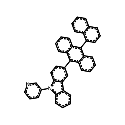 c1cncc(-n2c3ccccc3c3cc(-c4c5ccccc5c(-c5cccc6ccccc56)c5ccccc45)ccc32)c1